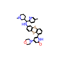 Cc1ccc(C(Nc2ccc3c(c2)Sc2cccc(-c4cc(N5CCOCC5)cc(=O)[nH]4)c2S3)C2CCCN(C)C2)nc1